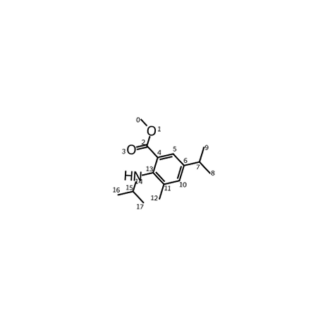 COC(=O)c1cc(C(C)C)cc(C)c1NC(C)C